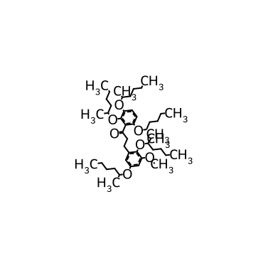 CCCCC(C)Oc1cc(CCC(=O)c2c(OC(C)CCCC)ccc(OC(C)CCCC)c2OC(C)CCCC)c(OC(C)CCCC)c(OC)c1